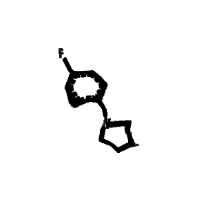 Fc1ccc(N2C[CH]CC2)cc1